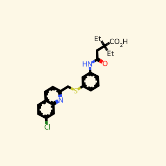 CCC(CC)(CC(=O)Nc1cccc(SCc2ccc3ccc(Cl)cc3n2)c1)C(=O)O